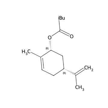 C=C(C)[C@@H]1CC=C(C)[C@H](OC(=O)C(C)CC)C1